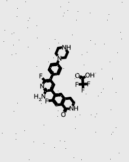 Nc1nc(F)c(-c2ccc(N3CCNCC3)cc2)cc1-c1cc2c(cc1F)C(=O)NCC2.O=C(O)C(F)(F)F